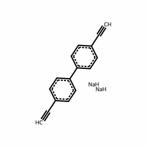 C#Cc1ccc(-c2ccc(C#C)cc2)cc1.[NaH].[NaH]